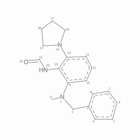 CN(Cc1ccccc1)c1cccc(N2CCCC2)c1NC=O